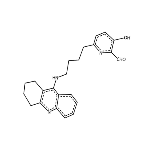 O=Cc1nc(CCCCNc2c3c(nc4ccccc24)CCCC3)ccc1O